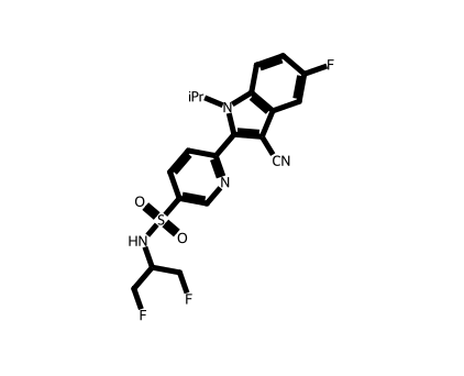 CC(C)n1c(-c2ccc(S(=O)(=O)NC(CF)CF)cn2)c(C#N)c2cc(F)ccc21